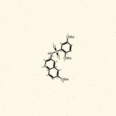 COc1ccc(OC)c(S(=O)(=O)Nc2cnc3ccc(OC)cc3c2)c1